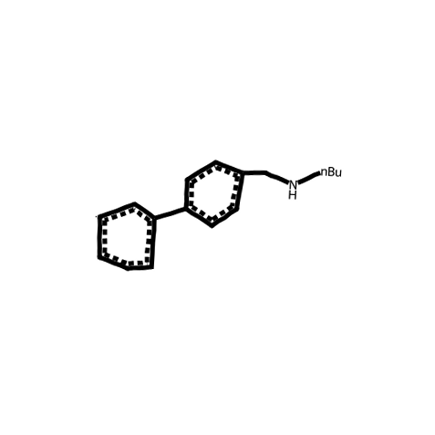 CCCCNCc1ccc(-c2c[c]ccc2)cc1